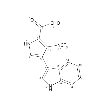 O=CC(=O)c1[nH]cc(-c2c[nH]c3ccccc23)c1NC(F)(F)F